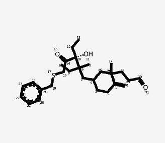 C=C1CCC(CC(C)(CC)[C@](O)(CC)C(=O)CSCc2ccccc2)CC1(C)CCC=O